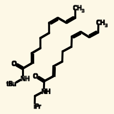 C/C=C\C=C/CCC/C=C/C(=O)NC(C)(C)C.C/C=C\C=C/CCC/C=C/C(=O)NCC(C)C